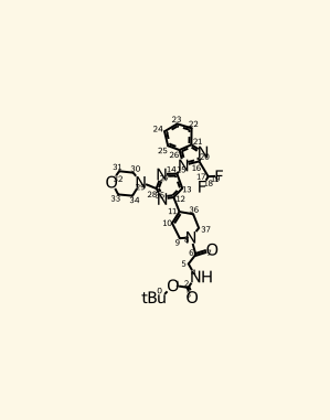 CC(C)(C)OC(=O)NCC(=O)N1CC=C(c2cc(-n3c(C(F)F)nc4ccccc43)nc(N3CCOCC3)n2)CC1